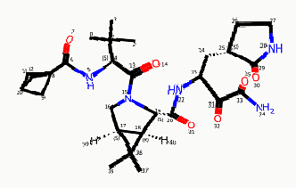 CC(C)(C)[C@H](NC(=O)C12CC(C1)C2)C(=O)N1C[C@H]2[C@@H]([C@H]1C(=O)NC(C[C@@H]1CCNC1=O)C(=O)C(N)=O)C2(C)C